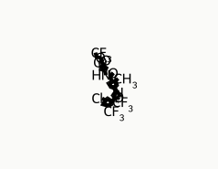 Cc1cc(C2=NO[C@@](c3cc(Cl)cc(C(F)(F)F)c3)(C(F)(F)F)C2)ccc1C(=O)NC1CN(S(=O)(=O)OCC(F)(F)F)C1